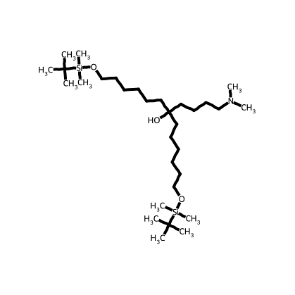 CN(C)CCCCC(O)(CCCCCCO[Si](C)(C)C(C)(C)C)CCCCCCO[Si](C)(C)C(C)(C)C